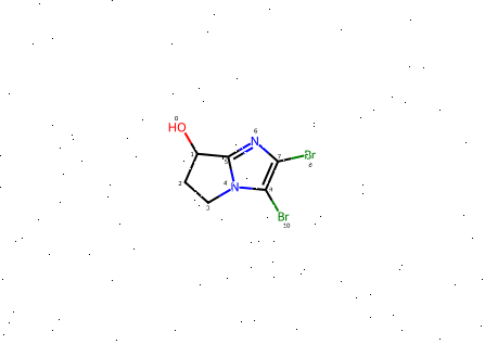 OC1CCn2c1nc(Br)c2Br